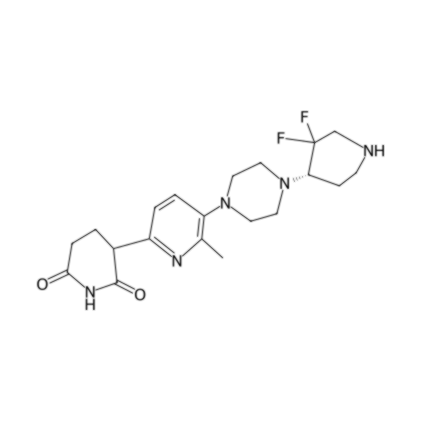 Cc1nc(C2CCC(=O)NC2=O)ccc1N1CCN([C@H]2CCNCC2(F)F)CC1